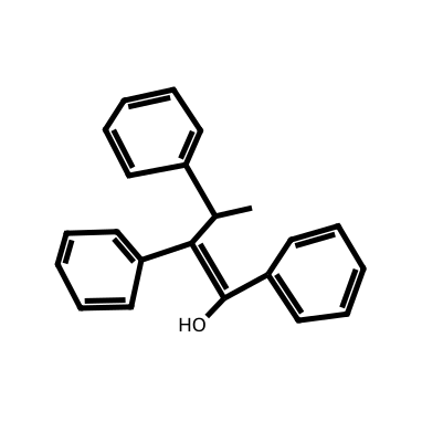 CC(/C(=C(/O)c1ccccc1)c1ccccc1)c1ccccc1